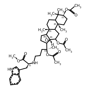 COC(=O)[C@H](Cc1c[nH]c2ccccc12)NCCC[C@](C)(OC(C)=O)C1CC[C@]2(C)[C@@H]1C(OC(C)=O)CC1[C@@]3(C)CC[C@H](OC(C)=O)C(C)(C)C3CC[C@]12C